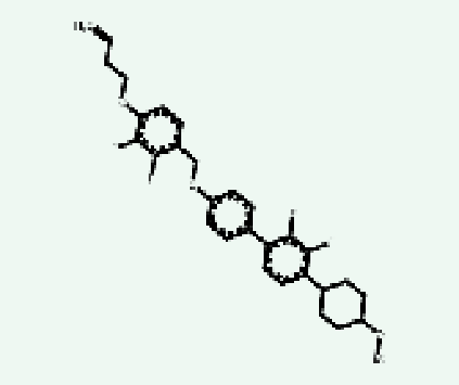 C=CCCOc1ccc(COc2ccc(-c3ccc(C4CCC(OCC)CC4)c(F)c3F)cc2)c(F)c1F